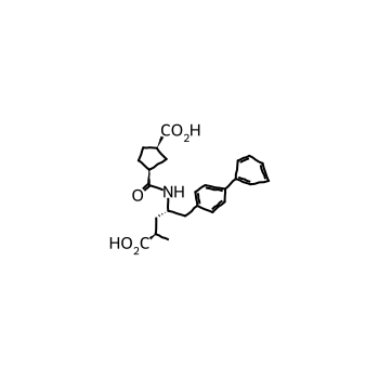 C[C@H](C[C@@H](Cc1ccc(-c2ccccc2)cc1)NC(=O)[C@H]1CC[C@@H](C(=O)O)C1)C(=O)O